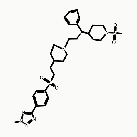 Cn1nnc(-c2ccc(S(=O)(=O)CCC3CCN(CC[C@@H](c4ccccc4)C4CCN(S(C)(=O)=O)CC4)CC3)cc2)n1